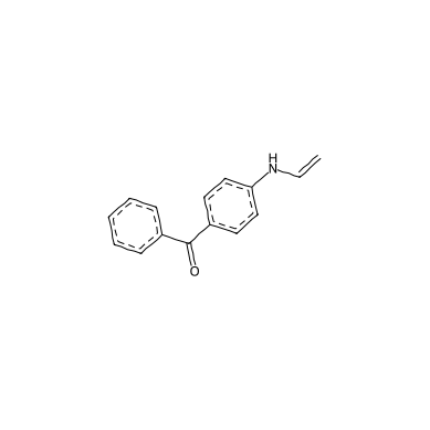 C=CNc1ccc(C(=O)c2ccccc2)cc1